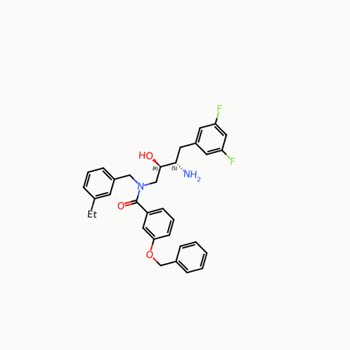 CCc1cccc(CN(C[C@@H](O)[C@@H](N)Cc2cc(F)cc(F)c2)C(=O)c2cccc(OCc3ccccc3)c2)c1